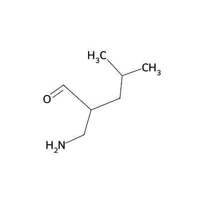 CC(C)CC(C=O)CN